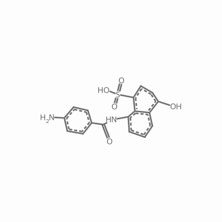 Nc1ccc(C(=O)Nc2cccc3c(O)ccc(S(=O)(=O)O)c23)cc1